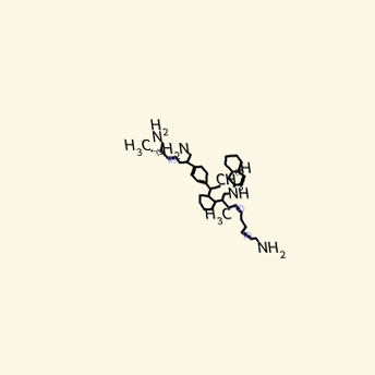 CCC(C1=CC=C(C(CN)C/C=C/[C@H](CC)CN)CC1)C1CCCCC1C(CNC1C=C[C@H]2CCCCC2C1)C(C)/C=C\CC/C=C\CN